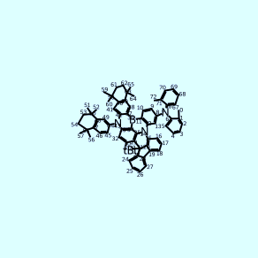 Cc1ccccc1N(c1ccc2c(c1)N1c3cccc4c3C(C)(c3ccccc3-4)c3c(C(C)(C)C)cc4c(c31)B2c1cc2c(cc1N4c1ccc3c(c1)C(C)(C)CCC3(C)C)C(C)(C)CCC2(C)C)c1ccccc1C